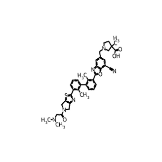 Cc1c(-c2nc3cc(CN4CCC(C)(C(=O)O)C4)cc(C#N)c3o2)cccc1-c1cccc(-c2nc3c(s2)CN(C(=O)CN(C)C)C3)c1C